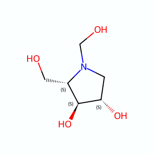 OC[C@H]1[C@H](O)[C@@H](O)CN1CO